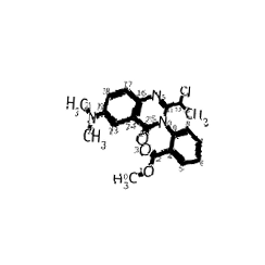 COC(=O)c1ccccc1-n1c(C(C)Cl)nc2ccc(N(C)C)cc2c1=O